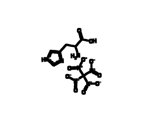 NC(Cc1c[nH]cn1)C(=O)O.O=[N+]([O-])C([N+](=O)[O-])([N+](=O)[O-])[N+](=O)[O-]